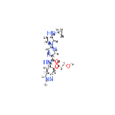 COCCOc1cc2nn(C)cc2cc1NC(=O)c1cnc(N2CC[C@H](NC3CC3)C2)cn1